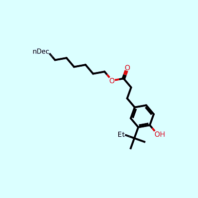 CCCCCCCCCCCCCCCCOC(=O)CCc1ccc(O)c(C(C)(C)CC)c1